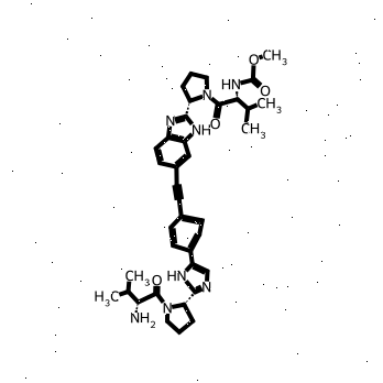 COC(=O)N[C@@H](C(=O)N1CCC[C@H]1c1nc2ccc(C#Cc3ccc(-c4cnc([C@@H]5CCCN5C(=O)[C@H](N)C(C)C)[nH]4)cc3)cc2[nH]1)C(C)C